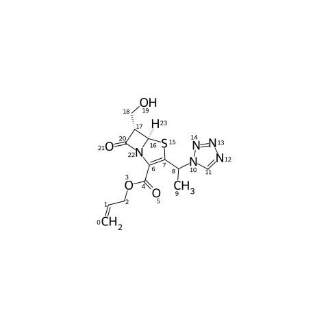 C=CCOC(=O)C1=C(C(C)n2cnnn2)S[C@@H]2[C@@H](CO)C(=O)N12